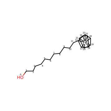 OCCCCCCCCCCC[C]12[CH]3[CH]4[CH]5[CH]1[Fe]45321678[CH]2[CH]1[CH]6[CH]7[CH]28